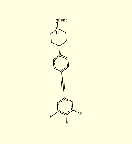 CCCCC[Si@H]1CC[C@H](c2ccc(C#Cc3cc(F)c(F)c(F)c3)cc2)CC1